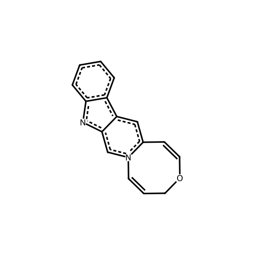 C1=C\n2cc3nc4ccccc4c-3cc2/C=C\OC/1